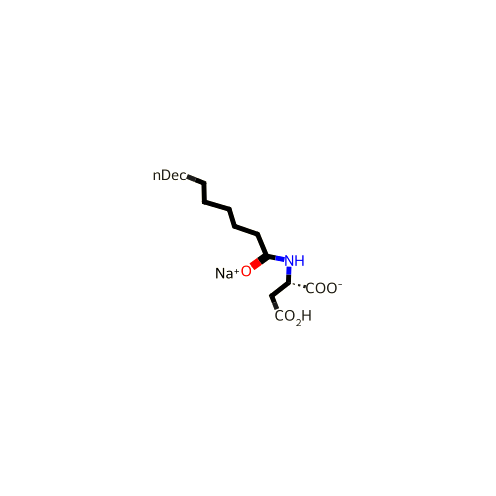 CCCCCCCCCCCCCCCC(=O)N[C@@H](CC(=O)O)C(=O)[O-].[Na+]